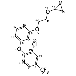 FC(F)(F)c1cnc(Oc2[c]c(OCCOC3CC3)ccc2)c(Cl)c1